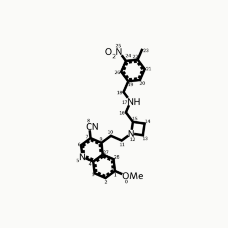 COc1ccc2ncc(C#N)c(CCN3CCC3CNCc3ccc(C)c([N+](=O)[O-])c3)c2c1